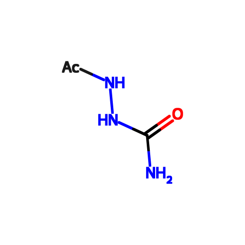 CC(=O)NNC(N)=O